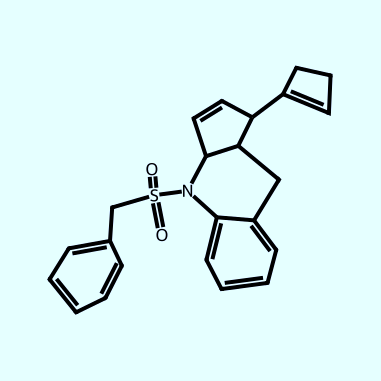 O=S(=O)(Cc1ccccc1)N1c2ccccc2CC2C(C3=CCC3)C=CC21